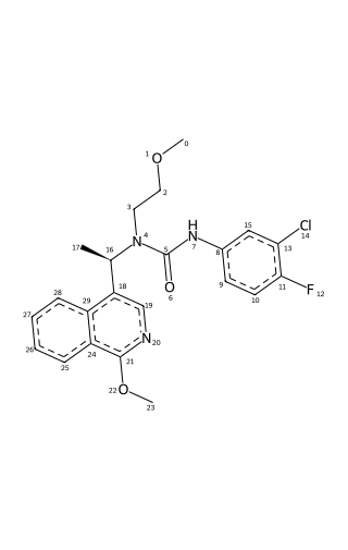 COCCN(C(=O)Nc1ccc(F)c(Cl)c1)[C@H](C)c1cnc(OC)c2ccccc12